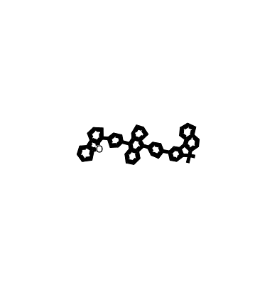 CC1(C)c2ccc(-c3ccc(-c4c5ccccc5c(-c5ccc(-c6cccc7c6oc6ccccc67)cc5)c5ccccc45)cc3)cc2-c2c1ccc1ccccc21